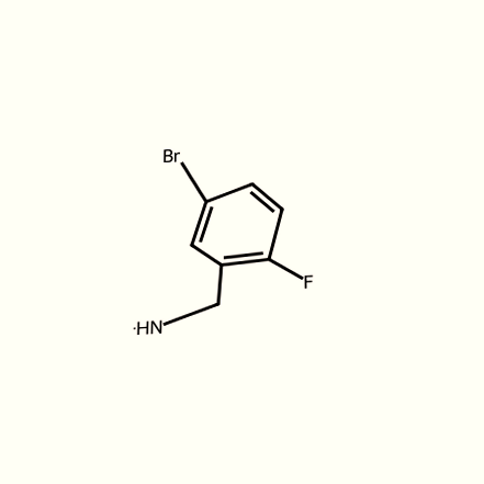 [NH]Cc1cc(Br)ccc1F